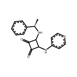 C[C@@H](NC1C(=O)C(=O)C1Nc1ccncc1)c1ccccc1